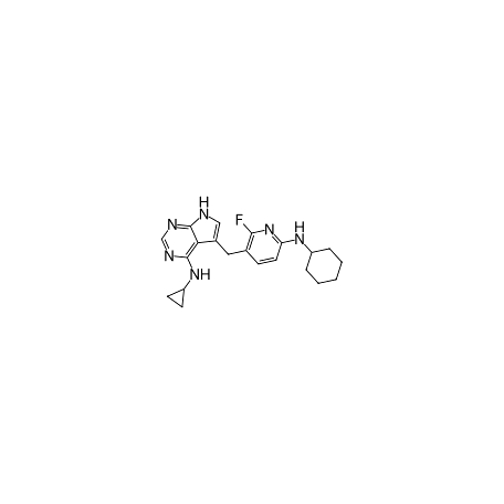 Fc1nc(NC2CCCCC2)ccc1Cc1c[nH]c2ncnc(NC3CC3)c12